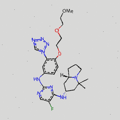 COCCOCCOc1ccc(Nc2ncc(F)c(N[C@@H]3C[C@@H]4CCCN4C(C)(C)C3)n2)cc1-n1cnnn1